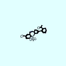 CC(=O)c1ccccc1-c1ccc2c(c1)CN(S(C)(=O)=O)c1ccc(Cl)cc1/C=C\2